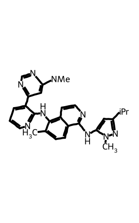 CNc1cc(-c2cccnc2Nc2c(C)ccc3c(Nc4cc(C(C)C)nn4C)nccc23)ncn1